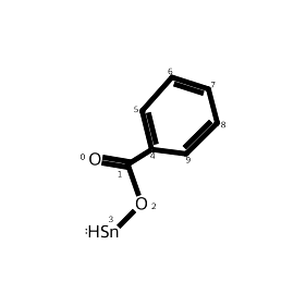 O=C([O][SnH])c1ccccc1